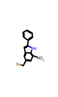 O=[N+]([O-])c1cc(CBr)cc2cc(-c3ccccc3)[nH]c12